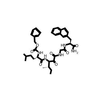 CC[C@H](C)C(NC(=O)[C@H](CCC(C)C)NC(=O)OCc1ccccc1)C(=O)C(=O)NCC(=O)N[C@@H](Cc1ccc2ccccc2c1)C(N)=O